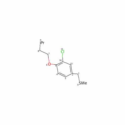 CSCc1ccc(OCCC(C)C)c(Cl)c1